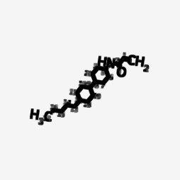 C=CC(=O)NC1CCC(C2CCC(CCCCC)CC2)CC1